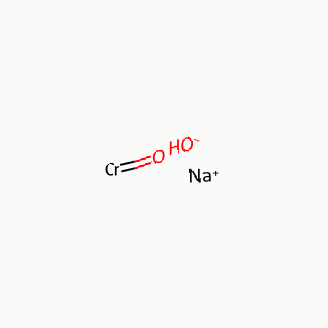 [Na+].[OH-].[O]=[Cr]